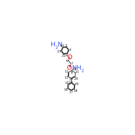 Nc1ccc(OCCOC2(N)C=CC(c3ccccc3)=CC2)cc1